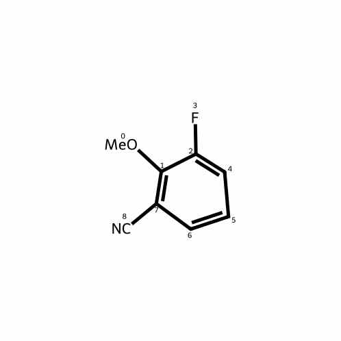 COc1c(F)cccc1C#N